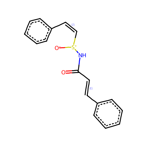 O=C(/C=C/c1ccccc1)N[S+]([O-])/C=C\c1ccccc1